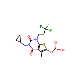 Cc1c(OC(=O)O)sc2c1c(=O)n(CC1CC1)c(=O)n2CCC(F)(F)F